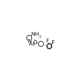 CC(=O)N1CCCC(N)[C@@H]1CO[C@H]1CC[C@@H](c2cccc(F)c2F)CC1